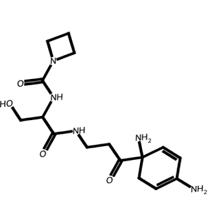 NC1=CCC(N)(C(=O)CCNC(=O)C(CO)NC(=O)N2CCC2)C=C1